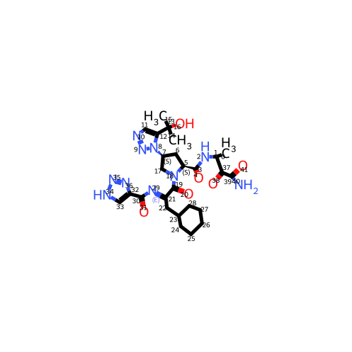 CC(NC(=O)[C@@H]1C[C@H](n2nncc2C(C)(C)O)CN1C(=O)/C(CC1CCCCC1)=N/C(=O)c1c[nH]nn1)C(=O)C(N)=O